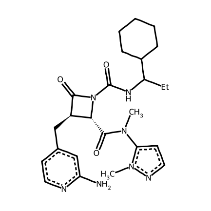 CCC(NC(=O)N1C(=O)[C@H](Cc2ccnc(N)c2)[C@H]1C(=O)N(C)c1ccnn1C)C1CCCCC1